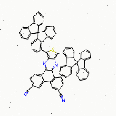 N#Cc1ccc2c(c1)c1cc(C#N)ccc1c1nc3c(-c4cccc5c4-c4ccccc4C54c5ccccc5-c5ccccc54)sc(-c4cccc5c4-c4ccccc4C54c5ccccc5-c5ccccc54)c3nc21